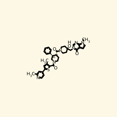 Cc1cc(-c2cc(C)c(C(=O)N3CC[C@@H](C(=O)N4CCC(O)(Cn5cnc6c(ccn6C)c5=O)CC4)[C@H](c4ccccc4)C3)s2)ccn1